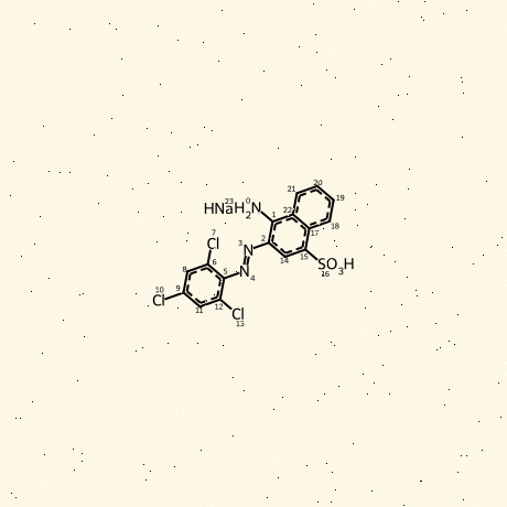 Nc1c(/N=N/c2c(Cl)cc(Cl)cc2Cl)cc(S(=O)(=O)O)c2ccccc12.[NaH]